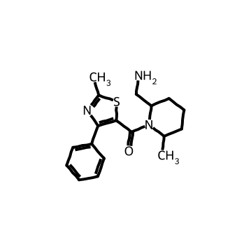 Cc1nc(-c2ccccc2)c(C(=O)N2C(C)CCCC2CN)s1